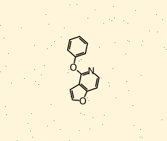 c1ccc(Oc2nccc3occc23)cc1